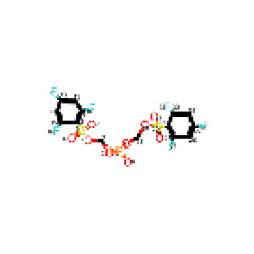 O=[PH](OCOS(=O)(=O)c1c(F)cc(F)cc1F)OCOS(=O)(=O)c1c(F)cc(F)cc1F